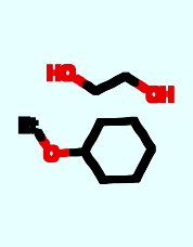 CCOC1CCCCC1.OCCO